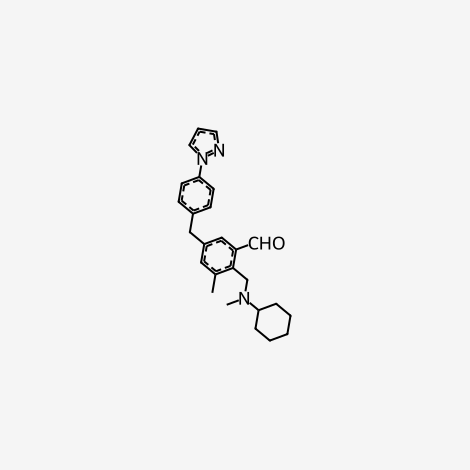 Cc1cc(Cc2ccc(-n3cccn3)cc2)cc(C=O)c1CN(C)C1CCCCC1